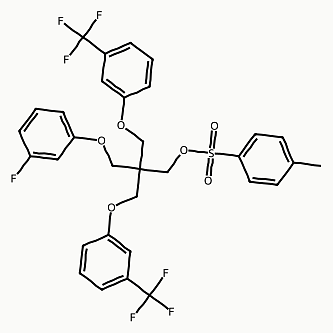 Cc1ccc(S(=O)(=O)OCC(COc2cccc(F)c2)(COc2cccc(C(F)(F)F)c2)COc2cccc(C(F)(F)F)c2)cc1